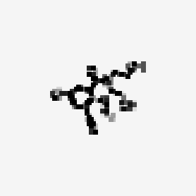 N#Cc1cc(Cl)cc(C(=O)N(CCO)CCO)c1N